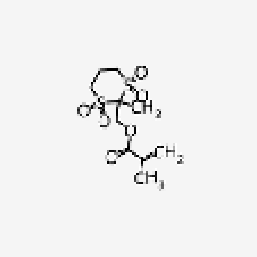 C=C(C)C(=O)OCC1(C)S(=O)(=O)CCCS1(=O)=O